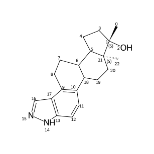 C[C@]1(O)CCC2C3CCc4c(ccc5[nH]ncc45)C3CC[C@@]21C